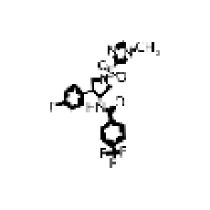 Cn1cnc(S(=O)(=O)N2C[C@H](NC(=O)c3ccc(C(F)(F)F)cc3)[C@@H](c3ccc(F)cc3)C2)c1